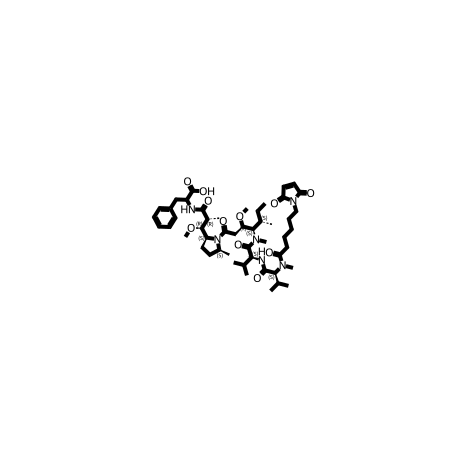 CC[C@H](C)[C@@H]([C@@H](CC(=O)N1[C@@H](C)CC[C@H]1[C@H](OC)[C@@H](C)C(=O)NC(Cc1ccccc1)C(=O)O)OC)N(C)C(=O)[C@@H](NC(=O)[C@H](C(C)C)N(C)C(=O)CCCCCN1C(=O)C=CC1=O)C(C)C